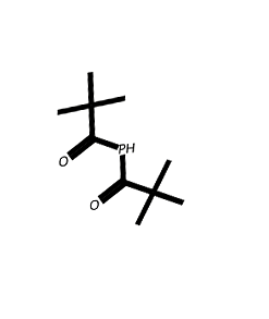 CC(C)(C)C(=O)PC(=O)C(C)(C)C